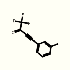 Cc1cccc(C#CC(=O)C(F)(F)F)c1